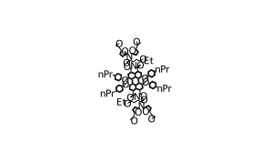 CCCc1ccc(Oc2cc3c4c(cc(Oc5ccc(CCC)cc5)c5c6c(Oc7ccc(CCC)cc7)cc7c8c(cc(Oc9ccc(CCC)cc9)c(c2c45)c86)C(=O)N(C(CCOCC)C(=O)N(c2ccc(C4CO4)o2)c2ccc(C4CO4)o2)C7=O)C(=O)N(C(CCOCC)C(=O)N(c2ccc(C4CO4)o2)c2ccc(C4CO4)o2)C3=O)cc1